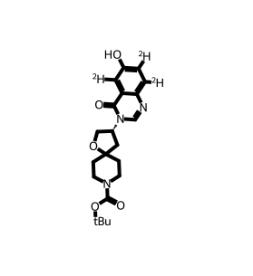 [2H]c1c(O)c([2H])c2c(=O)n([C@H]3COC4(CCN(C(=O)OC(C)(C)C)CC4)C3)cnc2c1[2H]